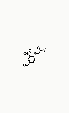 COC(=O)CSc1ccc(C=O)cc1[N+](=O)[O-]